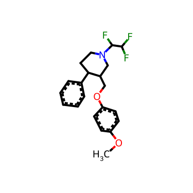 COc1ccc(OCC2CN(C(F)C(F)F)CCC2c2ccccc2)cc1